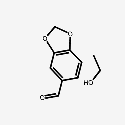 CCO.O=Cc1ccc2c(c1)OCO2